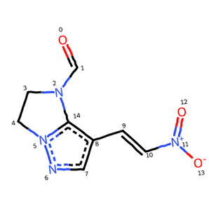 O=CN1CCn2ncc(C=C[N+](=O)[O-])c21